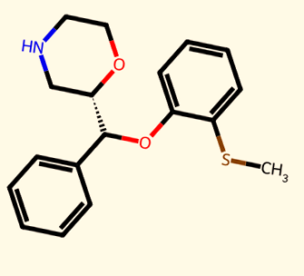 CSc1ccccc1OC(c1ccccc1)[C@@H]1CNCCO1